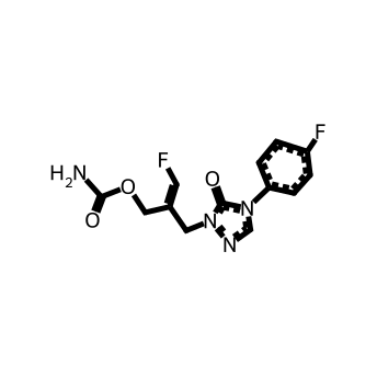 NC(=O)OCC(=CF)Cn1ncn(-c2ccc(F)cc2)c1=O